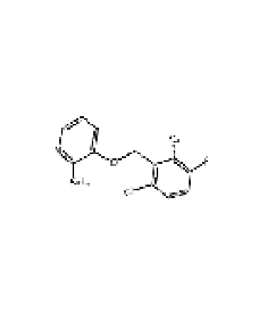 Nc1ncccc1OCc1c(Cl)ccc(F)c1Cl